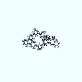 C[Si]1(C)c2cc3ccccc3cc2-c2nc(-c3ccccc3)nc(-c3cccc(-c4cccc(-c5ccc6c7ccccc7c7ccccc7c6c5)c4)c3)c21